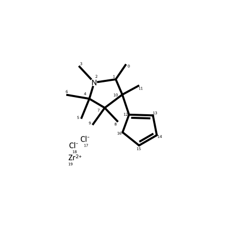 CC1N(C)C(C)(C)C(C)(C)C1(C)C1=CC=CC1.[Cl-].[Cl-].[Zr+2]